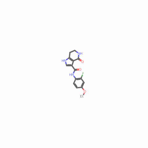 CCOc1ccc(NC(=O)c2c[nH]c3c2C(=O)NCC3)c(F)c1